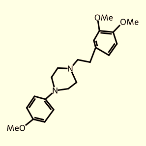 COc1ccc(N2CCN(CCc3ccc(OC)c(OC)c3)CC2)cc1